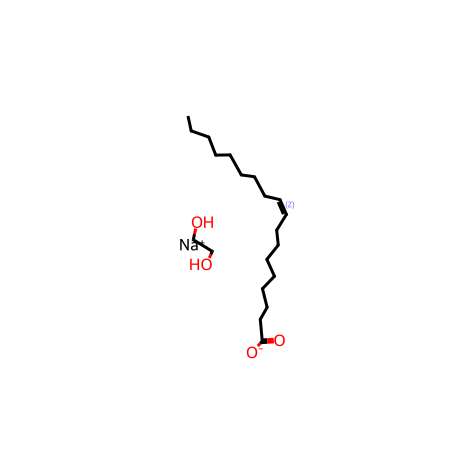 CCCCCCCC/C=C\CCCCCCCC(=O)[O-].OCCO.[Na+]